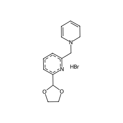 Br.C1=CCN(Cc2cccc(C3OCCO3)n2)C=C1